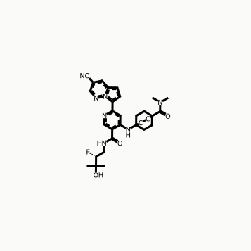 CN(C)C(=O)C12CCC(Nc3cc(-c4ccc5cc(C#N)cnn45)ncc3C(=O)NC[C@@H](F)C(C)(C)O)(CC1)CC2